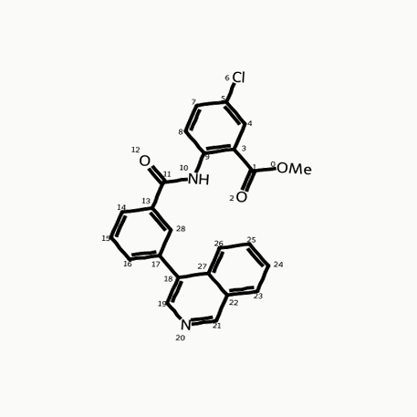 COC(=O)c1cc(Cl)ccc1NC(=O)c1cccc(-c2cncc3ccccc23)c1